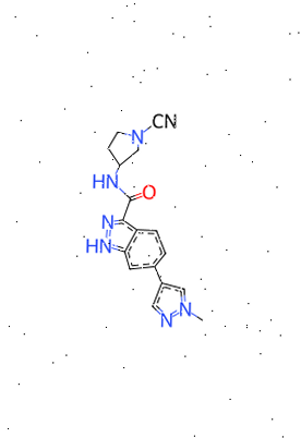 Cn1cc(-c2ccc3c(C(=O)NC4CCN(C#N)C4)n[nH]c3c2)cn1